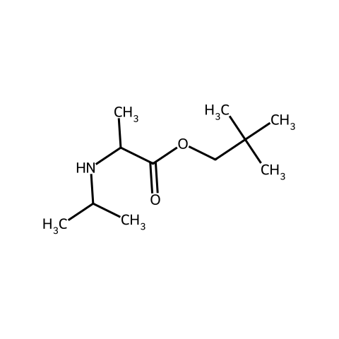 CC(C)NC(C)C(=O)OCC(C)(C)C